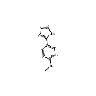 COc1ccc(-c2nc[c]s2)cn1